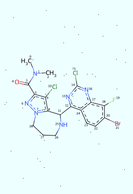 CN(C)C(=O)c1nn2c(c1Cl)C(c1nc(Cl)nc3c(F)c(Br)ccc13)NCCC2